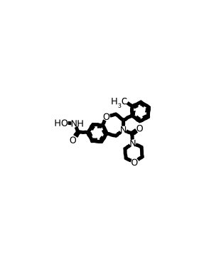 Cc1ccccc1C1COc2cc(C(=O)NO)ccc2CN1C(=O)N1CCOCC1